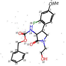 COc1ccc(C2CN(CCO)C(=O)C2NC(=O)OCc2ccccc2)c(F)c1